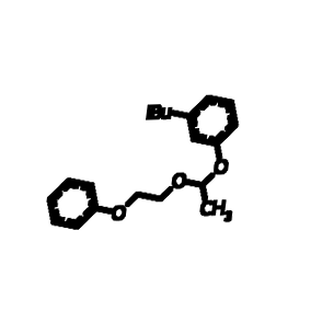 CCC(C)c1cccc(OC(C)OCCOc2ccccc2)c1